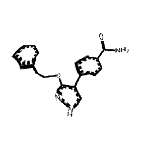 NC(=O)c1ccc(-c2c[nH]nc2OCc2ccccc2)cc1